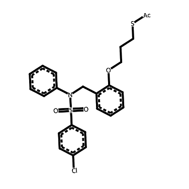 CC(=O)SCCCOc1ccccc1CN(c1ccccc1)S(=O)(=O)c1ccc(Cl)cc1